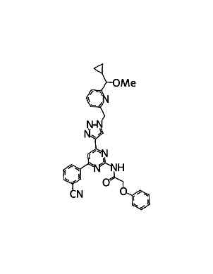 COC(c1cccc(Cn2cc(-c3cc(-c4cccc(C#N)c4)nc(NC(=O)COc4ccccc4)n3)nn2)n1)C1CC1